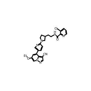 CCOc1cc(-c2ccc(N3CCC(CCNC(=O)c4ncccc4Cl)C3)nc2)c2c(C#N)cnn2c1